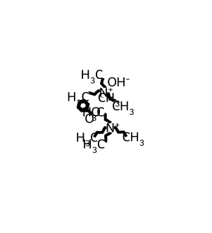 CCCC[N+](C)(CCCC)CCCC.CCCC[N+](CCCC)(CCCC)CCCC.O=C([O-])c1ccccc1.[OH-]